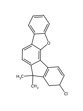 CC1(C)C2=C(C=CC(Cl)C2)c2c1ccc1c2oc2ccccc21